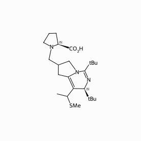 CSC(C)C1=C2CC(CN3CCC[C@H]3C(=O)O)CN2C(C(C)(C)C)=N[C@H]1C(C)(C)C